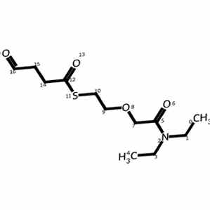 CCN(CC)C(=O)COCCSC(=O)CCC=O